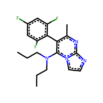 CCCN(CCC)c1c(-c2c(F)cc(F)cc2F)c(C)nc2nccn12